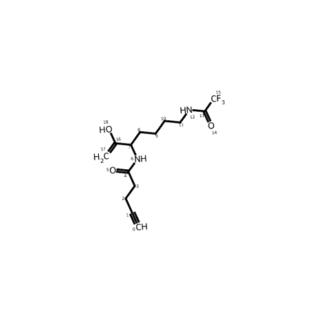 C#CCCC(=O)NC(CCCCNC(=O)C(F)(F)F)C(=C)O